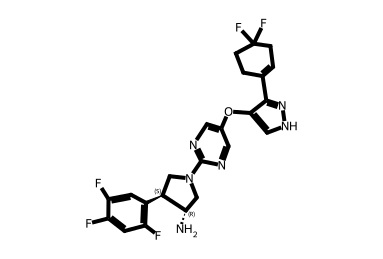 N[C@H]1CN(c2ncc(Oc3c[nH]nc3C3=CCC(F)(F)CC3)cn2)C[C@@H]1c1cc(F)c(F)cc1F